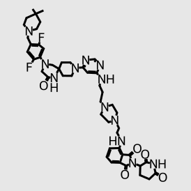 CC1(C)CCN(Cc2cc(F)c(N3CC(=O)NC4(CCN(c5cc(NCCCN6CCN(CCNc7cccc8c7C(=O)N(C7CCC(=O)NC7=O)C8=O)CC6)ncn5)CC4)C3)cc2F)CC1